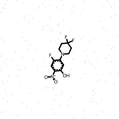 O=[N+]([O-])c1cc(F)c(N2CCC(F)(F)CC2)cc1O